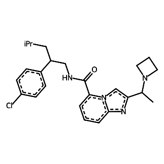 CC(C)CC(CNC(=O)c1cccc2nc(C(C)N3CCC3)cn12)c1ccc(Cl)cc1